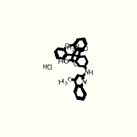 Cc1cc(NC2CCC(C(N)=O)(C3(C(=O)O)c4ccccc4Oc4ccccc43)CC2)nc2ccccc12.Cl